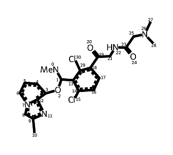 CNC(Oc1cccn2cc(C)nc12)c1c(Cl)ccc(C(=O)CNC(=O)CN(C)C)c1Cl